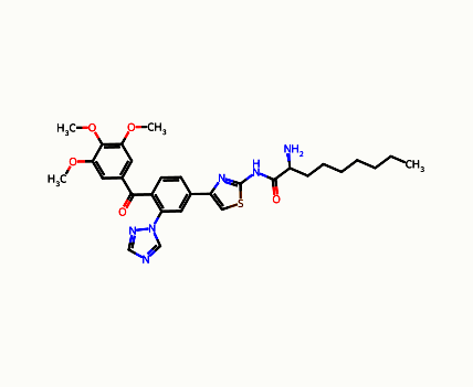 CCCCCCC[C@H](N)C(=O)Nc1nc(-c2ccc(C(=O)c3cc(OC)c(OC)c(OC)c3)c(-n3cncn3)c2)cs1